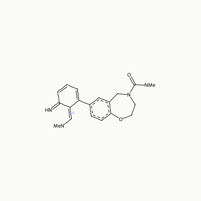 CN/C=C1\C(=N)C=CC=C1c1ccc2c(c1)CN(C(=O)NC)CCO2